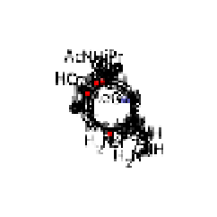 COC/C=C/c1c2nnn1CCCCCC[C@@](C)(NN[C@@H](Cc1ccccc1)C(=O)C(=O)[C@@H](NC(=O)[C@H](CC(C)C)NC(C)=O)[C@@H](C)O)C(=O)C(=O)[C@H](CCC(=O)O)NC(=O)[C@H](Cc1ccc(O)cc1)NN[C@@H](Cc1c[nH]c3ccccc13)C(=O)CC(=O)[C@H](C)NCC(=O)[C@H](CCC(N)=O)NN[C@@H](CC1CCC1)C(=O)N[C@](C)(C(=O)N[C@@H](CO)C(=O)CN[C@@H](C)C(=O)CCN[C@@H](C)C(=O)CN)CCC2